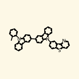 Cc1ccccc1-n1c2ccccc2c2cc(-c3ccc4c(c3)c3ccccc3n4-c3ccc4sc5cccnc5c4c3)ccc21